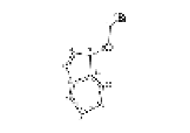 BrCOC1C=Cc2ccc[c]c21